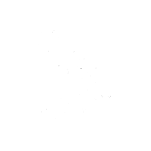 COc1ccc(-c2ccc(Cl)cc2)cc1CS(=O)(=O)c1ccc(-c2[c]cccc2)cc1